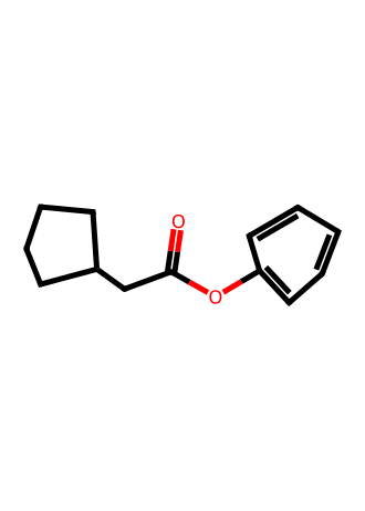 O=C(CC1CCCC1)Oc1ccccc1